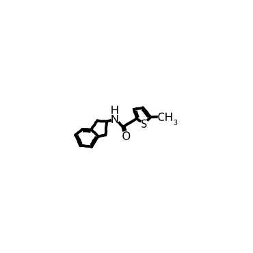 Cc1ccc(C(=O)NC2Cc3ccccc3C2)s1